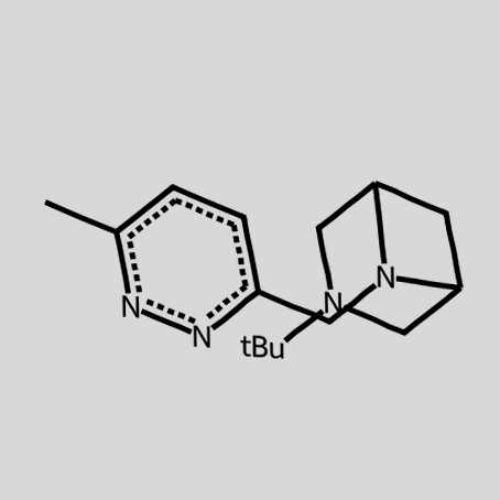 Cc1ccc(CN2C3CC2CN(C(C)(C)C)C3)nn1